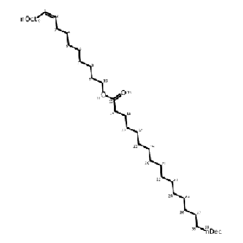 CCCCCCCC/C=C\CCCCCCCCOC(=O)CCCCCCCCCCCCCCCCCCCCCCCCC